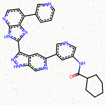 O=C(Nc1cncc(-c2cc3c(-c4nc5c(-c6cccnc6)ccnc5[nH]4)n[nH]c3cn2)c1)C1CCCCC1